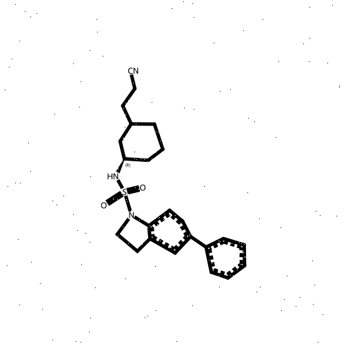 N#CCCC1CCC[C@@H](NS(=O)(=O)N2CCc3cc(-c4ccccc4)ccc32)C1